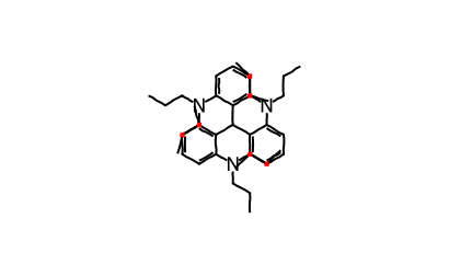 CCCN(CCC)c1cccc(C)c1C(c1c(C)cccc1N(CCC)CCC)c1c(C)cccc1N(CCC)CCC